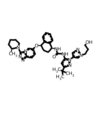 C[C@H]1CCCCN1c1nnc2ccc(O[C@@H]3CC[C@H](NC(=O)Nc4cc(C(C)(C)C)nn4-c4cnn(CCCO)c4)c4ccccc43)cn12